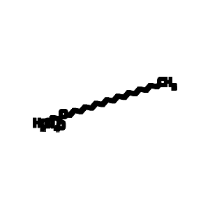 C.C=CC(=O)OCCCCCCCCCCCCCCCCCC